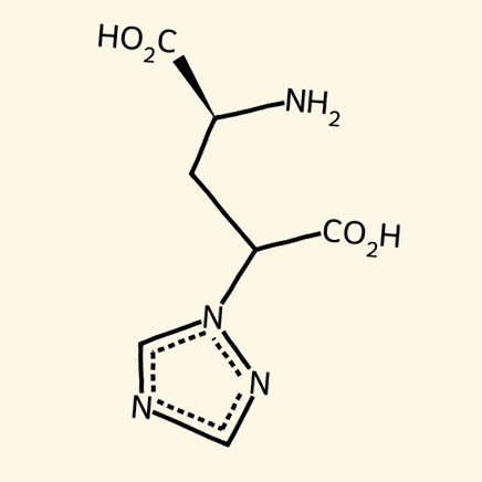 N[C@@H](CC(C(=O)O)n1cncn1)C(=O)O